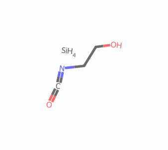 O=C=NCCO.[SiH4]